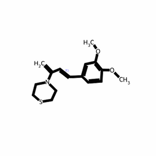 C=C(/C=C/c1ccc(OC)c(OC)c1)N1CCSCC1